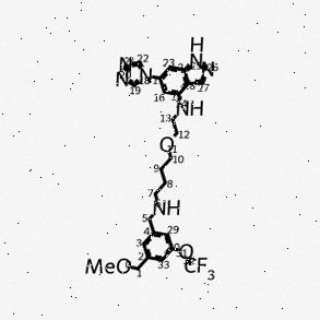 COCc1cc(CNCCCCOCCNc2cc(-n3cnnc3)cc3[nH]ncc23)cc(OC(F)(F)F)c1